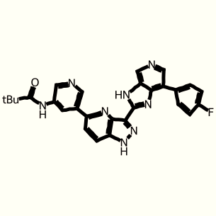 CC(C)(C)C(=O)Nc1cncc(-c2ccc3[nH]nc(-c4nc5c(-c6ccc(F)cc6)cncc5[nH]4)c3n2)c1